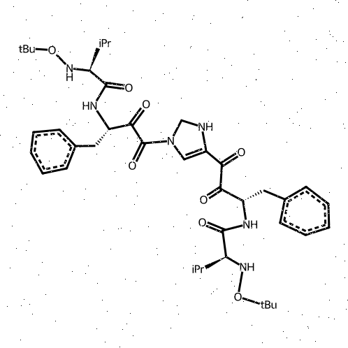 CC(C)[C@H](NOC(C)(C)C)C(=O)N[C@@H](Cc1ccccc1)C(=O)C(=O)C1=CN(C(=O)C(=O)[C@H](Cc2ccccc2)NC(=O)[C@@H](NOC(C)(C)C)C(C)C)CN1